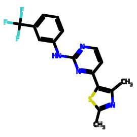 Cc1nc(C)c(-c2ccnc(Nc3cccc(C(F)(F)F)c3)n2)s1